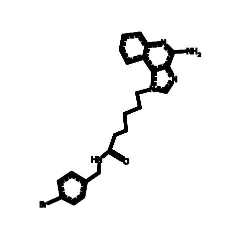 Nc1nc2ccccc2c2c1ncn2CCCCCC(=O)NCc1ccc(Br)cc1